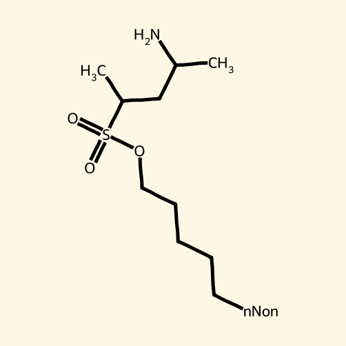 CCCCCCCCCCCCCCOS(=O)(=O)C(C)CC(C)N